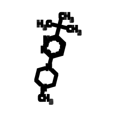 CN1CCN(c2ccc(C(C)(C)C)nn2)CC1